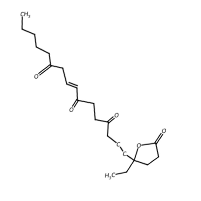 CCCCCC(=O)CC=CC(=O)CCC(=O)CCCC1(CC)CCC(=O)O1